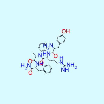 CC(C(=O)NC(Cc1ccccc1)C(N)=O)N(C(=O)C(CCCNC(=N)N)NC(=O)C(N)Cc1ccc(O)cc1)c1ccccc1